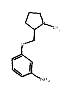 CN1CCCC1COc1cccc(N)c1